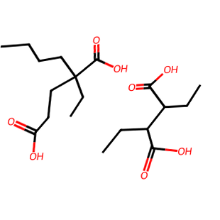 CCC(C(=O)O)C(CC)C(=O)O.CCCCC(CC)(CCC(=O)O)C(=O)O